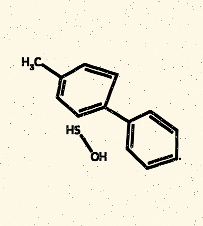 Cc1ccc(-c2cc[c]cc2)cc1.OS